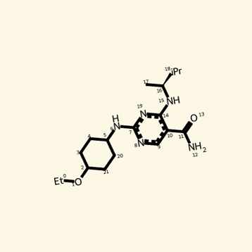 CCOC1CCC(Nc2ncc(C(N)=O)c(N[C@@H](C)C(C)C)n2)CC1